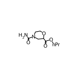 CCCOC(=O)C1CN(C(N)=O)CCO1